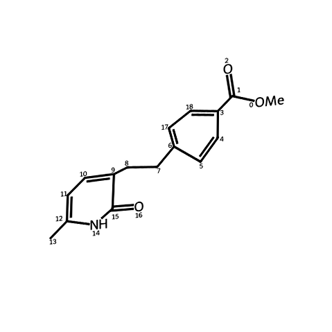 COC(=O)c1ccc(CCc2ccc(C)[nH]c2=O)cc1